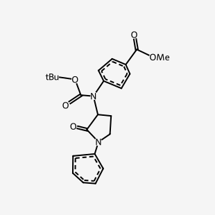 COC(=O)c1ccc(N(C(=O)OC(C)(C)C)C2CCN(c3ccccc3)C2=O)cc1